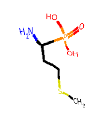 CSCCC(N)P(=O)(O)O